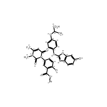 CC(C)OC(=O)c1cc(-n2c(=O)cc(C(F)(F)F)n(C)c2=O)ccc1Cl.CC(Oc1ccc(Oc2nc3ccc(Cl)cc3o2)cc1)C(=O)O